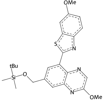 COc1ccc2nc(-c3cc(CO[Si](C)(C)C(C)(C)C)cc4nc(OC)cnc34)sc2c1